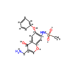 CS(=O)(=O)Nc1cc2occ(CN)c(=O)c2cc1Oc1ccccc1